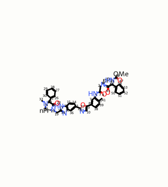 CCCN(CC(=O)Nc1cc(-c2cnc(-c3ccc4[nH]c(CN(CCC)C(=O)[C@@H](c5ccccc5)N(C)C)nc4c3)o2)ccc1C)C(=O)[C@H](NC(=O)OC)c1ccccc1